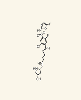 O=S(=O)(Nc1ncc(F)s1)c1cc(Cl)c(NCCCCNC[C@@H]2C[C@H](O)CN2)cc1F